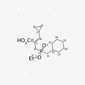 CCOP(=O)(CC(=CC1CC1)C(=O)O)CC1CCCCC1